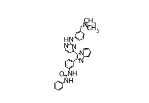 CN(C)Cc1cccc(Nc2nccc(-c3c(-c4cccc(NC(=O)Nc5ccccc5)c4)nc4ccccn34)n2)c1